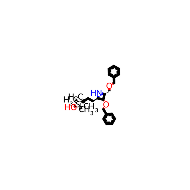 CC(C)(CC[C@H]1N[C@H](COCc2ccccc2)[C@H]1OCc1ccccc1)[Si](C)(C)O